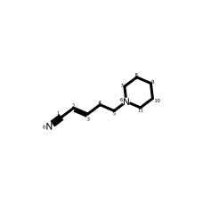 N#CC=CCCN1CCCCC1